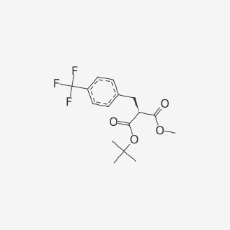 COC(=O)[C@H](Cc1ccc(C(F)(F)F)cc1)C(=O)OC(C)(C)C